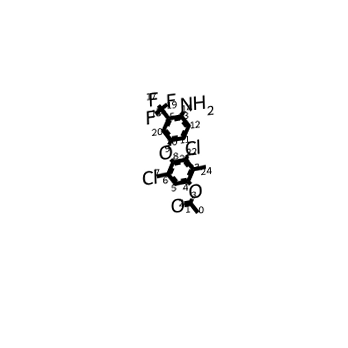 CC(=O)Oc1cc(Cl)c(Oc2ccc(N)c(C(F)(F)F)c2)c(Cl)c1C